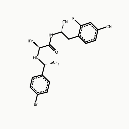 CC(C)[C@H](N[C@@H](c1ccc(Br)cc1)C(F)(F)F)C(=O)N[C@H](C#N)Cc1ccc(C#N)cc1F